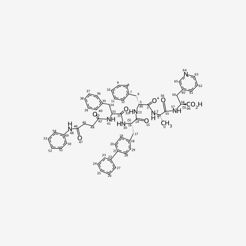 C[C@H](NC(=O)[C@@H](Cc1ccccc1)NC(=O)[C@H](Cc1ccc(-c2ccccc2)cc1)NC(=O)C(Cc1ccccc1)NC(=O)CCC(=O)Nc1ccccc1)C(=O)N[C@@H](Cc1cccnc1)C(=O)O